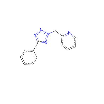 c1ccc(-c2nnn(Cc3ccccn3)n2)cc1